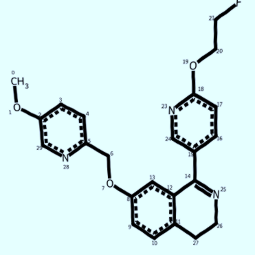 COc1ccc(COc2ccc3c(c2)C(c2ccc(OCCF)nc2)=NCC3)nc1